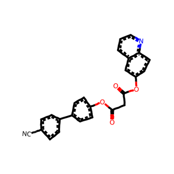 N#Cc1ccc(-c2ccc(OC(=O)CC(=O)Oc3ccc4ncccc4c3)cc2)cc1